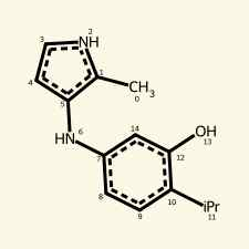 Cc1[nH]ccc1Nc1ccc(C(C)C)c(O)c1